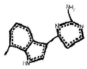 Cc1cccc2c(-c3ccnc(N)n3)c[nH]c12